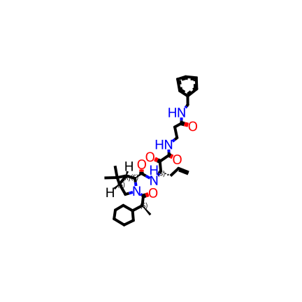 C=CC[C@H](NC(=O)[C@@H]1[C@@H]2[C@H](CN1C(=O)[C@@H](C)C1CCCCC1)C2(C)C)C(=O)C(=O)NCCC(=O)NCc1ccccc1